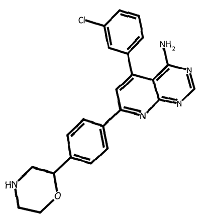 Nc1ncnc2nc(-c3ccc(C4CNCCO4)cc3)cc(-c3cccc(Cl)c3)c12